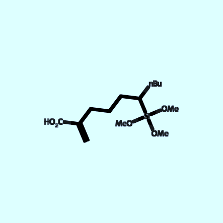 C=C(CCCC(CCCC)[Si](OC)(OC)OC)C(=O)O